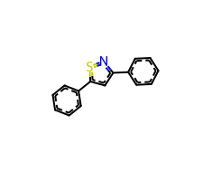 c1ccc(-c2cc(-c3ccccc3)sn2)cc1